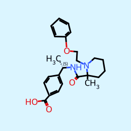 C[C@H](NC(=O)C1(C)CCCCN1CCOc1ccccc1)c1ccc(C(=O)O)cc1